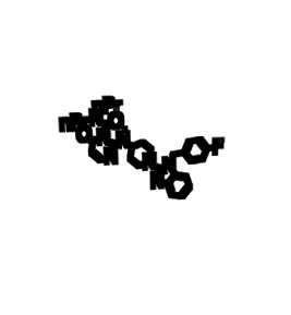 CCCN(CCC)C(=O)n1c(N(C)C2CCN(c3nc4ccccc4n3Cc3ccc(F)cc3)CC2)nccc1=O